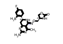 Bc1cc(F)ccc1[C@H]1Cc2nc(N)nc(C)c2/C(=N/OC[C@H]2COC(=O)N2)N1